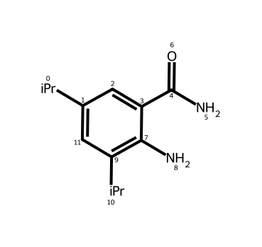 CC(C)c1cc(C(N)=O)c(N)c(C(C)C)c1